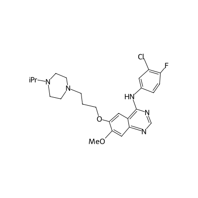 COc1cc2ncnc(Nc3ccc(F)c(Cl)c3)c2cc1OCCCN1CCN(C(C)C)CC1